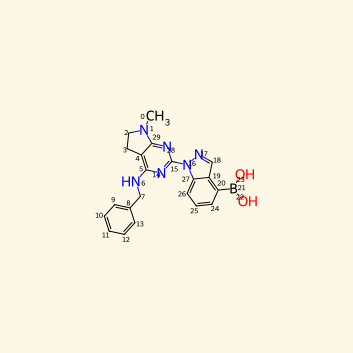 CN1CCc2c(NCc3ccccc3)nc(-n3ncc4c(B(O)O)cccc43)nc21